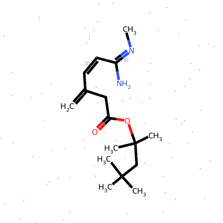 C=C(/C=C\C(N)=N/C)CC(=O)OC(C)(C)CC(C)(C)C